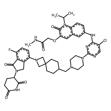 CNC(=O)COc1cc2cc(Nc3nc(N4CCN(CC5CCC6(CC5)CN(c5ccc(F)c7c5CN(C5CCC(=O)NC5=O)C7=O)C6)CC4)ncc3Cl)ccc2n(C(C)C)c1=O